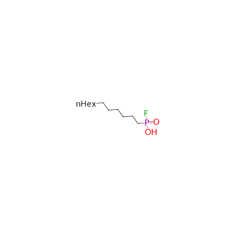 CCCCCCCCCCCCP(=O)(O)F